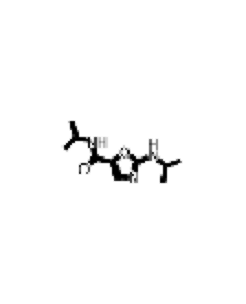 CC(C)NC(=O)c1cnc(NC(C)C)o1